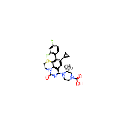 C[C@H]1CN(C(=O)O)CCN1c1nc(=O)n2c3c(c(-c4ccc(F)cc4F)c(C4CC4)cc13)SCC2